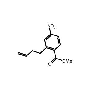 C=CCCc1cc([N+](=O)[O-])ccc1C(=O)OC